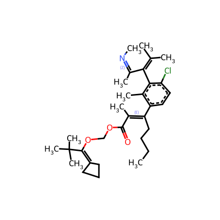 CCCC/C(=C(/C)C(=O)OCOC(=C1CCC1)C(C)(C)C)c1ccc(Cl)c(C(=C(C)C)/C(C)=N\C)c1C